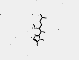 CNC(CCC(C)I)C(C)c1ncc(C)n1C